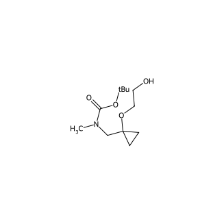 CN(CC1(OCCO)CC1)C(=O)OC(C)(C)C